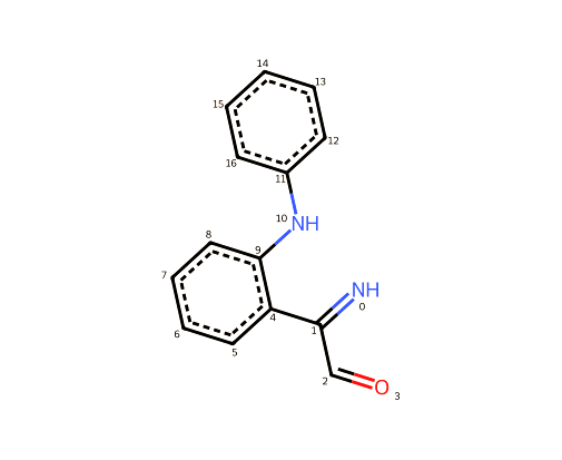 N=C(C=O)c1ccccc1Nc1ccccc1